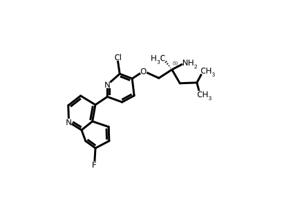 CC(C)C[C@](C)(N)COc1ccc(-c2ccnc3cc(F)ccc23)nc1Cl